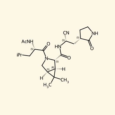 CC(=O)N[C@@H](CC(C)C)C(=O)N1C[C@H]2[C@@H]([C@H]1C(=O)N[C@H](C#N)C[C@@H]1CCNC1=O)C2(C)C